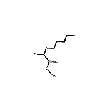 CC(C)C(SCCCCF)C(=O)OC(C)(C)C